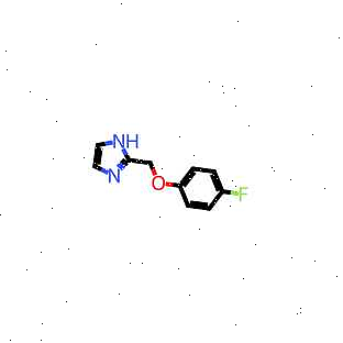 Fc1ccc(OCc2ncc[nH]2)cc1